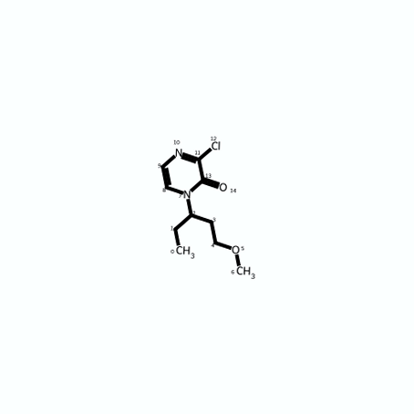 CCC(CCOC)n1ccnc(Cl)c1=O